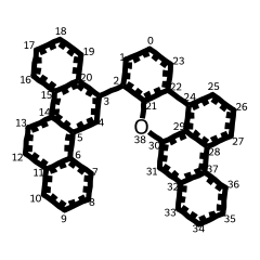 c1cc(-c2cc3c4ccccc4ccc3c3ccccc23)c2c(c1)-c1cccc3c1c(cc1ccccc13)O2